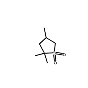 CC1CC(C)(C)S(=O)(=O)C1